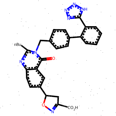 CCCCc1nc2ccc(C3CC(C(=O)O)=NO3)cc2c(=O)n1Cc1ccc(-c2ccccc2-c2nnn[nH]2)cc1